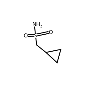 NS(=O)(=O)CC1CC1